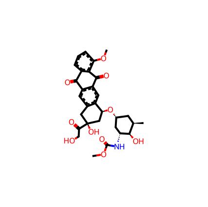 COC(=O)N[C@@H]1C[C@H](O[C@H]2C[C@](O)(C(=O)CO)Cc3cc4c(cc32)C(=O)c2c(OC)cccc2C4=O)C[C@@H](C)[C@H]1O